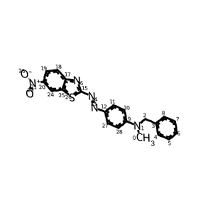 CN(Cc1ccccc1)c1ccc(N=Nc2nc3ccc([N+](=O)[O-])cc3s2)cc1